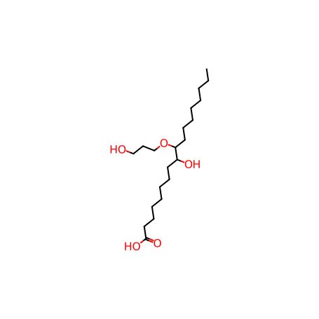 CCCCCCCCC(OCCCO)C(O)CCCCCCCC(=O)O